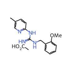 CC(=O)O.COc1ccccc1CNC(=N)Nc1ccc(C)cn1